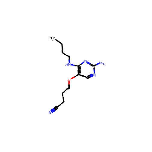 CCCCNc1nc(N)ncc1OCCCC#N